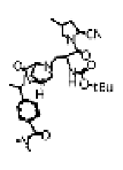 CC1CC(C#N)N(C(=O)C(CN2C[C@@H]3CC2C(=O)N3C(C)c2ccc(C(=O)N(C)C)cc2)NC(=O)OC(C)(C)C)C1